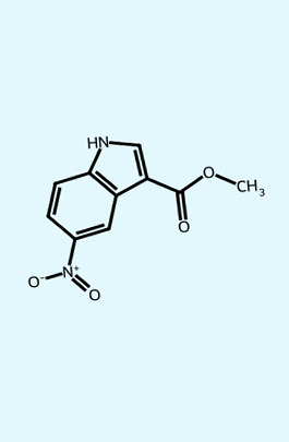 COC(=O)c1c[nH]c2ccc([N+](=O)[O-])cc12